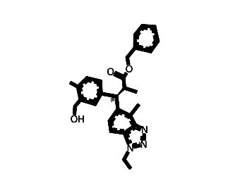 CCn1nnc2c(C)c([C@@H](c3ccc(C)c(CO)c3)C(C)C(=O)OCc3ccccc3)ccc21